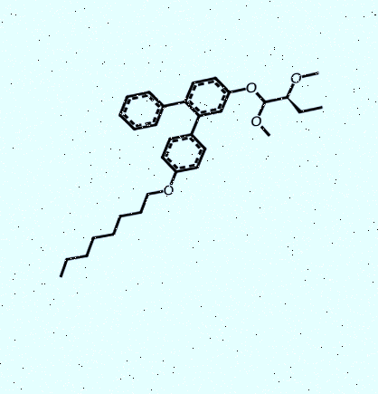 CCCCCCCCOc1ccc(-c2cc(OC(OC)[C@H](CC)OC)ccc2-c2ccccc2)cc1